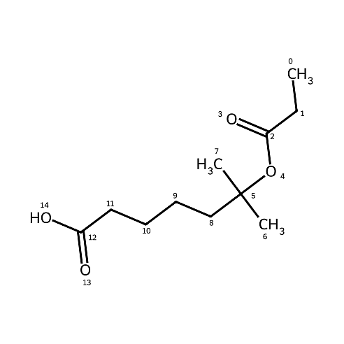 CCC(=O)OC(C)(C)CCCCC(=O)O